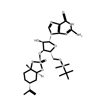 C=C(C)[C@@H]1CC[C@]2(C)S[P@@](=S)(O[C@H]3[C@@H](O)[C@H](n4cnc5c(=O)[nH]c(N)nc54)O[C@@H]3CO[Si](C)(C)C(C)(C)C)O[C@H]2C1